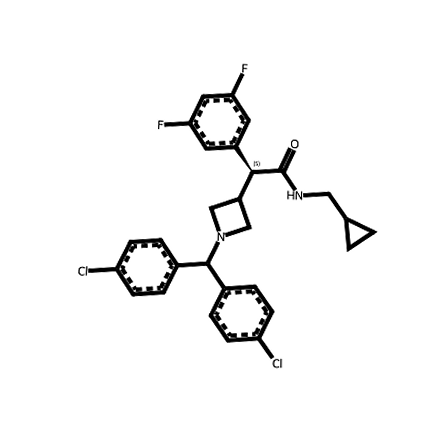 O=C(NCC1CC1)[C@H](c1cc(F)cc(F)c1)C1CN(C(c2ccc(Cl)cc2)c2ccc(Cl)cc2)C1